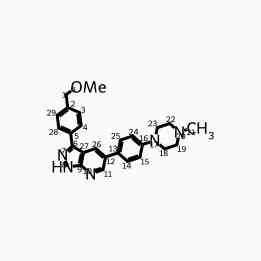 COCc1ccc(-c2n[nH]c3ncc(-c4ccc(N5CCN(C)CC5)cc4)cc23)cc1